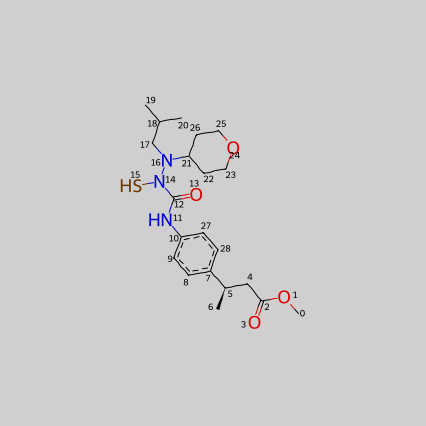 COC(=O)C[C@@H](C)c1ccc(NC(=O)N(S)N(CC(C)C)C2CCOCC2)cc1